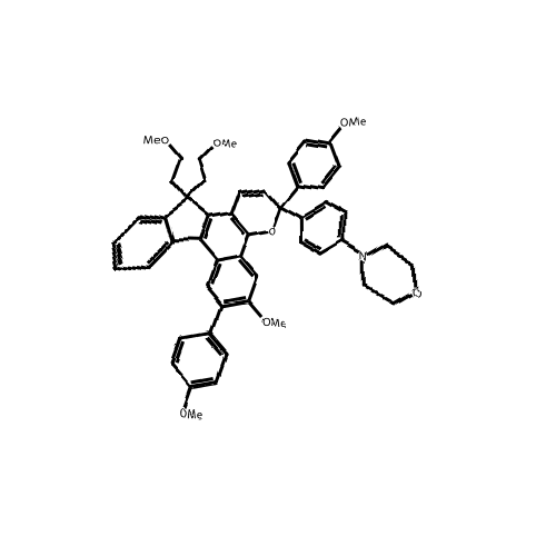 COCCC1(CCOC)c2ccccc2-c2c1c1c(c3cc(OC)c(-c4ccc(OC)cc4)cc23)OC(c2ccc(OC)cc2)(c2ccc(N3CCOCC3)cc2)C=C1